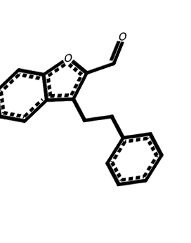 O=Cc1oc2ccccc2c1CCc1ccccc1